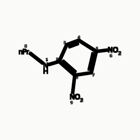 [CH2]CCNc1ccc([N+](=O)[O-])cc1[N+](=O)[O-]